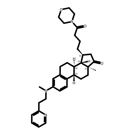 CN(CCc1ccccn1)c1ccc2c(c1)CC[C@H]1[C@@H]3[C@@H](CCCC(=O)N4CCOCC4)CC(=O)[C@@]3(C)CC[C@H]21